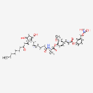 CCCCCCCC(=O)CC[C@@H]1[C@@H](C/C=C\CCCC(=O)NC(C)C(=O)Oc2ccc(/C=C/C(=O)Oc3cccc(CON(O)O)c3)cc2OC)[C@@H](O)C[C@H]1O